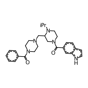 CC(C)N1CCN(C(=O)c2ccc3cc[nH]c3c2)CC1CN1CCN(C(=O)c2ccccc2)CC1